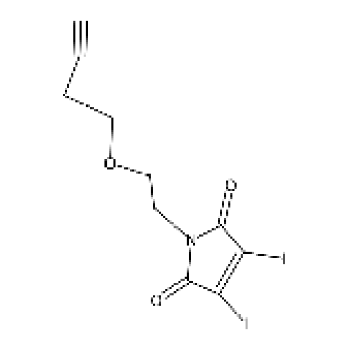 C#CCCOCCN1C(=O)C(I)=C(I)C1=O